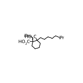 CC(C)CCCCCC1(C(=O)O)CCCCC1(CC(C)C)C(=O)O